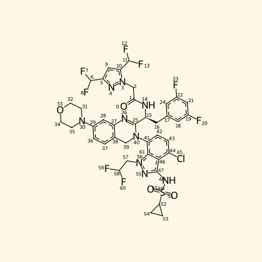 O=C(Cn1nc(C(F)F)cc1C(F)F)N[C@@H](Cc1cc(F)cc(F)c1)C1=Nc2cc(N3CCOCC3)ccc2CN1c1ccc(Cl)c2c(NS(=O)(=O)C3CC3)nn(CC(F)F)c12